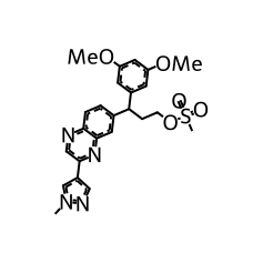 COc1cc(OC)cc(C(CCOS(C)(=O)=O)c2ccc3ncc(-c4cnn(C)c4)nc3c2)c1